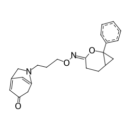 O=C1C=C2C=C(C1)N(CCCON=C1CCC3CC3(c3ccccc3)O1)C2